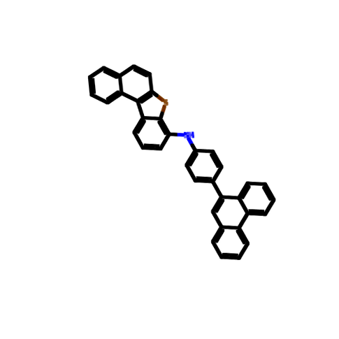 c1ccc2c(c1)cc(-c1ccc(Nc3cccc4c3sc3ccc5ccccc5c34)cc1)c1ccccc12